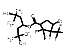 CCC1CC(C(=O)OC(CC(O)(C(F)(F)F)C(F)(F)F)CC(O)(C(F)(F)F)C(F)(F)F)C(F)(F)C1(F)C(C)(F)F